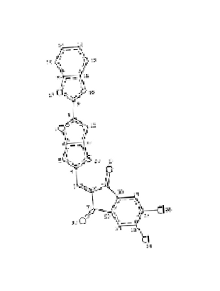 O=C1C(=Cc2cc3oc(-c4cc5ccccc5o4)cc3s2)C(=O)c2cc(Cl)c(Cl)cc21